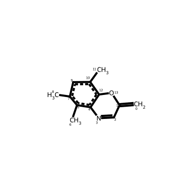 C=C1C=Nc2c(C)c(C)cc(C)c2O1